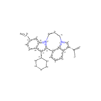 C=C(C)c1cn2c3c(cccc13)-c1c(C3CCCCC3)c3ccc(C(=O)O)cc3n1CCC2